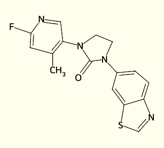 Cc1cc(F)ncc1N1CCN(c2ccc3ncsc3c2)C1=O